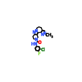 Cn1cc2c(n1)-c1c3c(nn1CCC2)CCN(C(=O)Nc1ccc(F)c(Cl)c1)C3